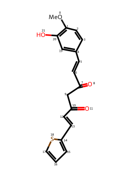 COc1ccc(/C=C/C(=O)CC(=O)/C=C/c2cccs2)cc1O